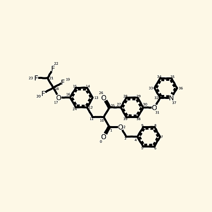 O=C(OCc1ccccc1)C(Cc1cccc(OC(F)(F)C(F)F)c1)C(=O)c1ccc(Oc2ccccn2)cc1